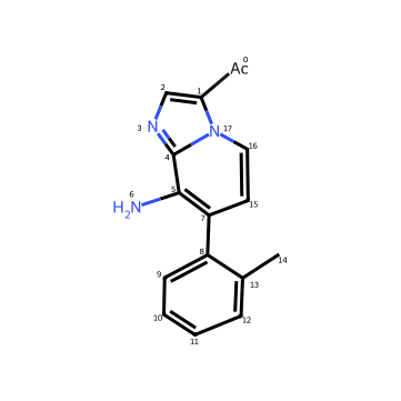 CC(=O)c1cnc2c(N)c(-c3ccccc3C)ccn12